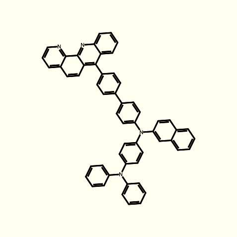 c1ccc(N(c2ccccc2)c2ccc(N(c3ccc(-c4ccc(-c5c6ccccc6nc6c5ccc5cccnc56)cc4)cc3)c3ccc4ccccc4c3)cc2)cc1